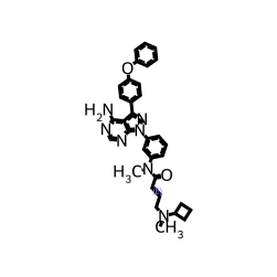 CN(C(=O)/C=C/CN(C)C1CCC1)c1cccc(-n2nc(-c3ccc(Oc4ccccc4)cc3)c3c(N)ncnc32)c1